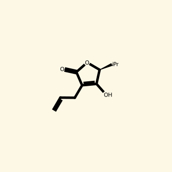 C=CCC1=C(O)[C@H](C(C)C)OC1=O